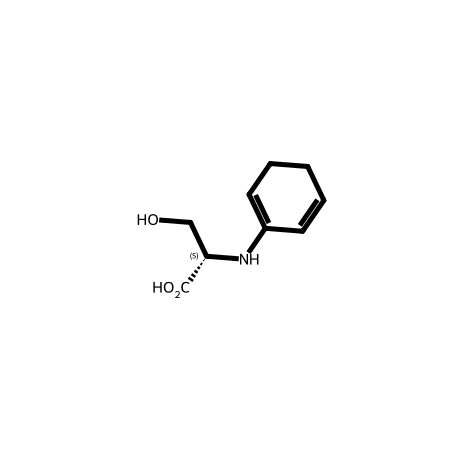 O=C(O)[C@H](CO)NC1=CCCC=C1